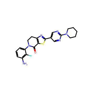 Nc1cccc(N2CCc3nc(-c4cnc(N5CCCCC5)nc4)sc3C2=O)c1F